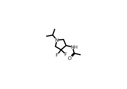 CC(=O)NC1CN(C(C)C)CC1(F)F